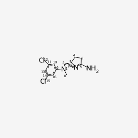 CN(C[C@H]1CCC(N)=N1)c1cc(Cl)cc(Cl)c1